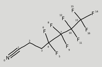 N#CCCC(F)(F)C(F)(F)C(F)(F)C(F)(F)F